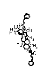 C#C[C@@]12C[C@@H](O)[C@]3(CO)C(CC(C)(C)[C@@H](O)[C@@H]3OC(=O)/C=C/c3ccccc3)C1=CCC1[C@@]3(C)CC[C@H](O)[C@](C)(COC(=O)/C=C/c4ccccc4)C3CC[C@]12C